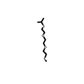 CSCCOCCOCCSC(C)C